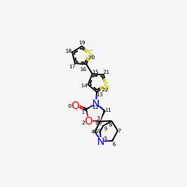 O=C1O[C@]2(CN3CCC2CC3)CN1c1cc(-c2cccs2)cs1